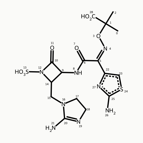 CC(C)(O/N=C(\C(=O)NC1C(=O)N(S(=O)(=O)O)C1CN1CCN=C1N)c1csc(N)n1)C(=O)O